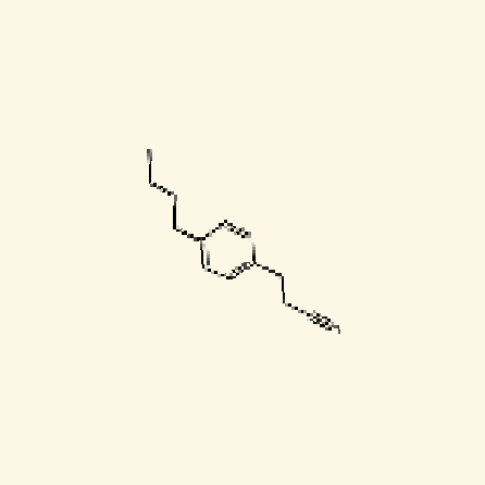 CCCCc1ccc(CCC#N)cc1